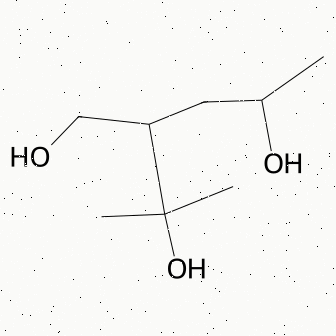 CC(O)CC(CO)C(C)(C)O